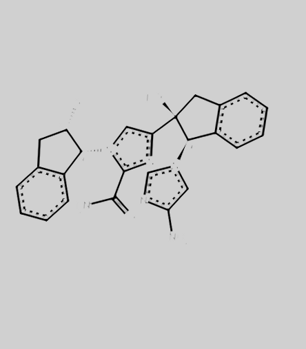 NC(=O)c1nc([C@]2(O)Cc3ccccc3[C@H]2n2cnc([N+](=O)[O-])c2)cn1[C@@H]1c2ccccc2C[C@@H]1O